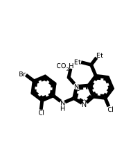 CCC(CC)c1ccc(Cl)c2nc(Nc3ccc(Br)cc3Cl)n(CC(=O)O)c12